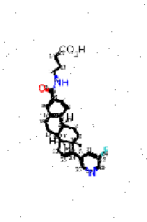 C[C@]12CC[C@@H]3c4ccc(C(=O)NCCCC(=O)O)cc4CC[C@H]3[C@@H]1CC=C2c1cncc(F)c1